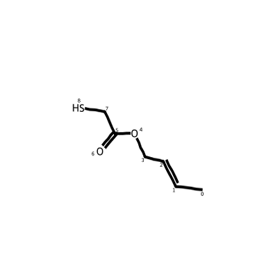 CC=CCOC(=O)CS